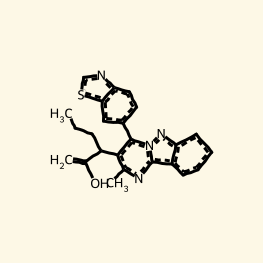 C=C(O)C(CCC)c1c(C)nc2c3ccccc3nn2c1-c1ccc2ncsc2c1